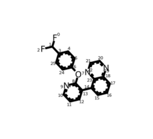 FC(F)c1ccc(Oc2ncccc2-c2cccc3nccnc23)cc1